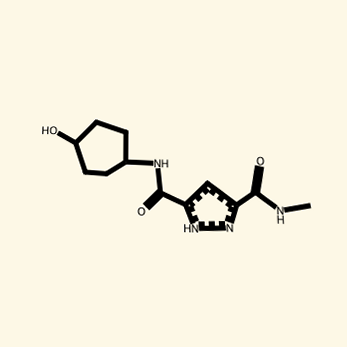 CNC(=O)c1cc(C(=O)NC2CCC(O)CC2)[nH]n1